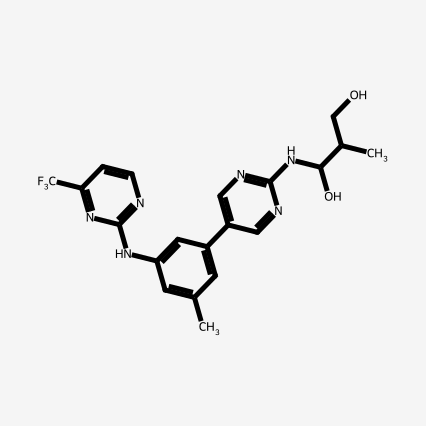 Cc1cc(Nc2nccc(C(F)(F)F)n2)cc(-c2cnc(NC(O)C(C)CO)nc2)c1